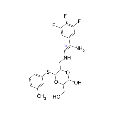 Cc1cccc(SC2OC(CO)C(O)OC2CN/C=C(\N)c2cc(F)c(F)c(F)c2)c1